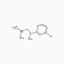 CN(C)CC(O)c1cccc(F)c1